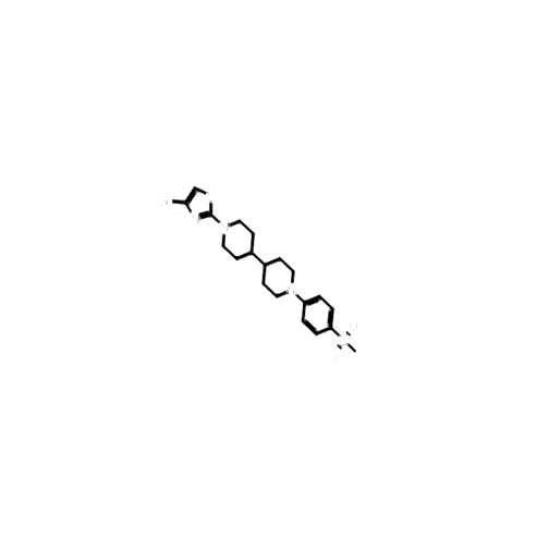 CS(=O)(=O)c1ccc(N2CCC(C3CCN(c4nc(Br)cs4)CC3)CC2)cc1